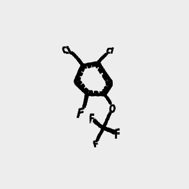 Fc1cc(Cl)c(Cl)cc1OC(F)(F)F